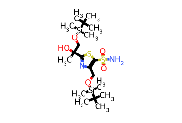 CC(O)(CO[Si](C)(C)C(C)(C)C)c1nc(CO[Si](C)(C)C(C)(C)C)c(S(N)(=O)=O)s1